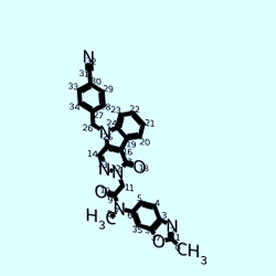 Cc1nc2ccc(N(C)C(=O)Cn3ncc4c(c3=O)c3ccccc3n4Cc3ccc(C#N)cc3)cc2o1